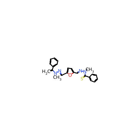 C=C(c1ccccc1)N(C)/N=C/c1ccc(/C=N/N(C)C(=S)c2ccccc2)o1